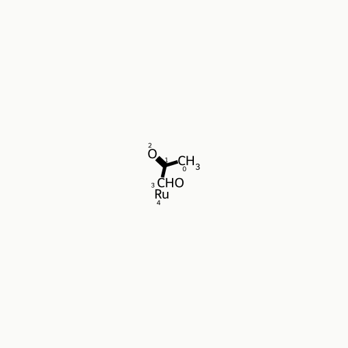 CC(=O)C=O.[Ru]